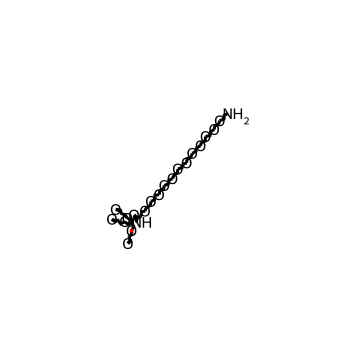 NCCOCCOCCOCCOCCOCCOCCOCCOCCOCCOCCOCCOCCC(=O)NC(COCCC=O)(COCCC=O)COCCC=O